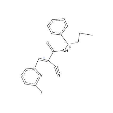 CCC[C@H](NC(=O)/C(C#N)=C/c1cccc(I)n1)c1ccccc1